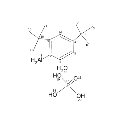 CC(C)(C)c1cc[c]([AlH2])c(C(C)(C)C)c1.O.O=P(O)(O)O